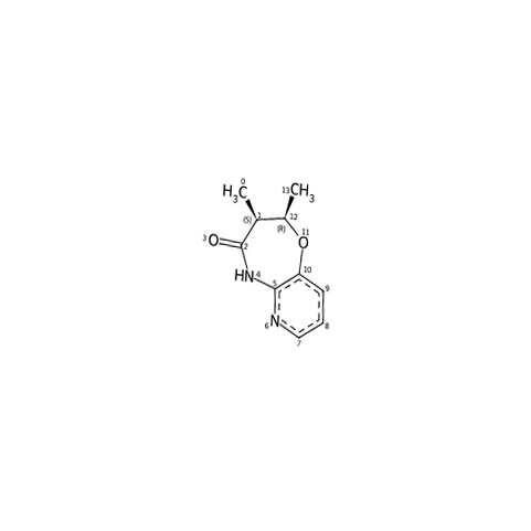 C[C@@H]1C(=O)Nc2ncccc2O[C@@H]1C